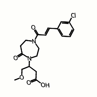 COCC(CC(=O)O)N1CCN(C(=O)/C=C/c2cccc(Cl)c2)CCC1=O